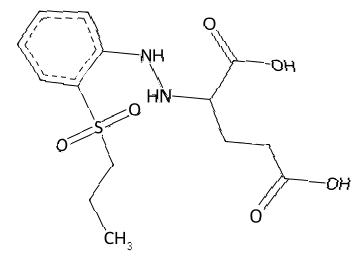 CCCS(=O)(=O)c1ccccc1NNC(CCC(=O)O)C(=O)O